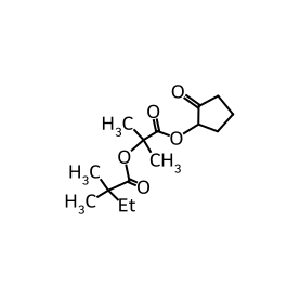 CCC(C)(C)C(=O)OC(C)(C)C(=O)OC1CCCC1=O